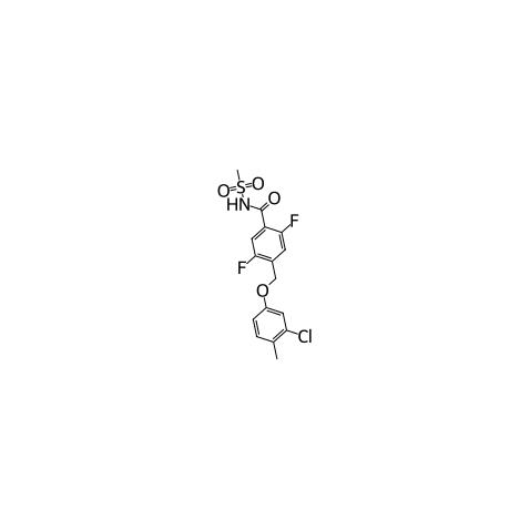 Cc1ccc(OCc2cc(F)c(C(=O)NS(C)(=O)=O)cc2F)cc1Cl